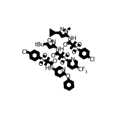 CC(C)(C(=O)Nc1ccc(Oc2ccccc2)nc1)S(=O)(=O)c1ccc(Cl)cc1.CC(C)(C)c1cc(NC(=O)C(C)(C)S(=O)(=O)c2ccc(C(F)(F)F)cn2)no1.Cn1nc(C2CC2)cc1NC(=O)C(C)(C)S(=O)(=O)c1ccc(Cl)cc1